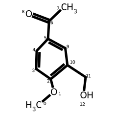 COc1ccc(C(C)=O)cc1CO